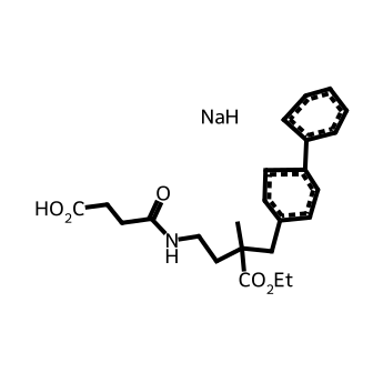 CCOC(=O)C(C)(CCNC(=O)CCC(=O)O)Cc1ccc(-c2ccccc2)cc1.[NaH]